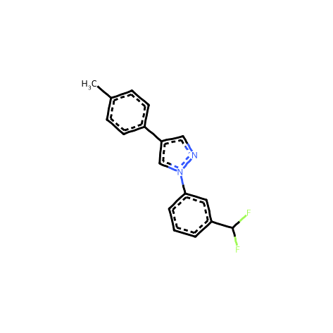 Cc1ccc(-c2cnn(-c3cccc(C(F)F)c3)c2)cc1